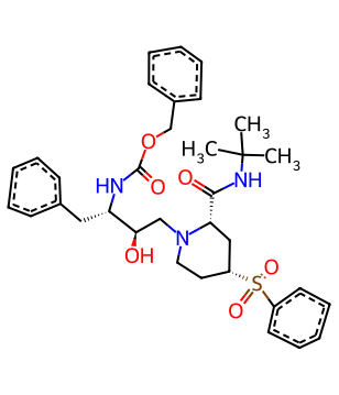 CC(C)(C)NC(=O)[C@@H]1C[C@H](S(=O)(=O)c2ccccc2)CCN1C[C@@H](O)[C@H](Cc1ccccc1)NC(=O)OCc1ccccc1